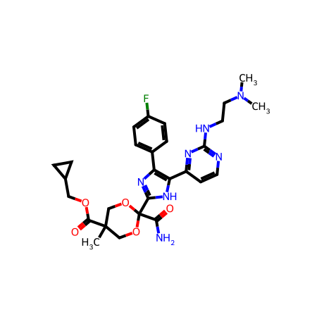 CN(C)CCNc1nccc(-c2[nH]c(C3(C(N)=O)OCC(C)(C(=O)OCC4CC4)CO3)nc2-c2ccc(F)cc2)n1